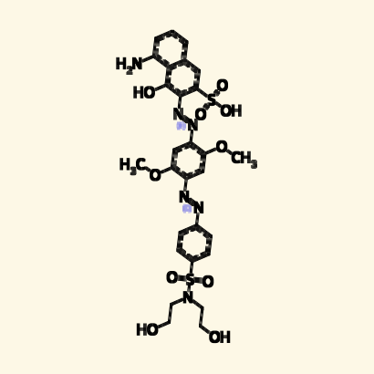 COc1cc(/N=N/c2c(S(=O)(=O)O)cc3cccc(N)c3c2O)c(OC)cc1/N=N/c1ccc(S(=O)(=O)N(CCO)CCO)cc1